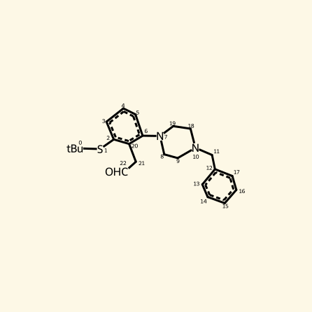 CC(C)(C)Sc1cccc(N2CCN(Cc3ccccc3)CC2)c1CC=O